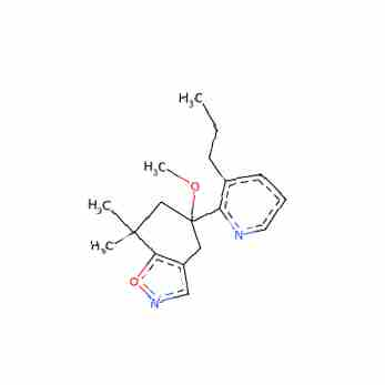 CCCc1cccnc1C1(OC)Cc2cnoc2C(C)(C)C1